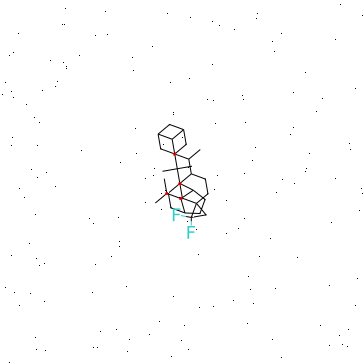 CC(C)C1C2CCC1C(C(C)(C)C1CC3CC(C1)C3CC(C)C1CCC3(CC1)CC3(F)F)CC2